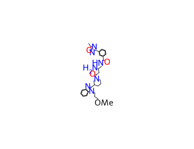 COCCCn1c(C2CCCN(C(=O)CC(N)CNC(=O)c3cccc(-c4noc(C)n4)c3)C2)nc2ccccc21